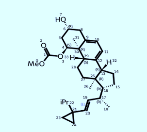 COC(=O)O[C@H]1C[C@H](O)CC2=CC=C3[C@@H]4CC[C@H]([C@H](C)/C=C/C5(C(C)C)CC5)[C@@]4(C)CC[C@@H]3[C@]21C